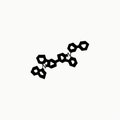 C1=CC2C=CC=C(n3c4c(c5cc(-c6ccc7c(c6)c6ccccc6n7C6=CC(C7=CCCC=C7)=CCC6)ccc53)C=CCC4)C2C=C1